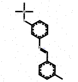 Cc1cccc(/C=N/c2cccc(S[Si](C)(C)C)c2)c1